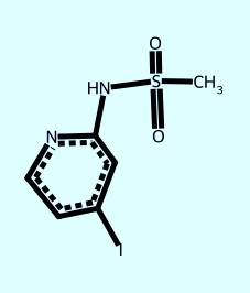 CS(=O)(=O)Nc1cc(I)ccn1